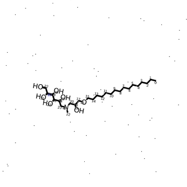 CCCCCCCCCCCCCCCCOCC(O)CN(C)CC(O)C(O)/C(O)=C(\O)CO